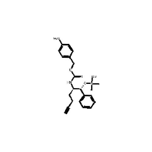 C#CCC[C@@H](NC(=O)OCc1ccc(OC)cc1)[C@H](O[Si](C)(C)C(C)(C)C)c1ccccc1